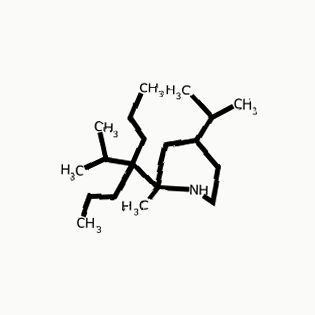 CCCC(CCC)(C(C)C)C1(C)CC(C(C)C)CCN1